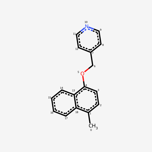 Cc1ccc(OCc2ccncc2)c2ccccc12